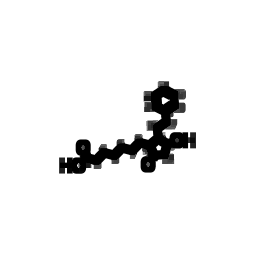 O=C(O)CCCCCCC1C(=O)CC(O)C1CCc1ccccc1